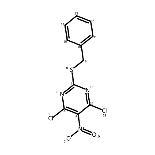 O=[N+]([O-])c1c(Cl)nc(SCc2ccccc2)nc1Cl